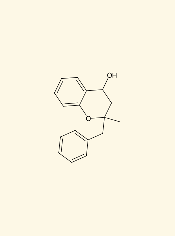 CC1(Cc2ccccc2)CC(O)c2ccccc2O1